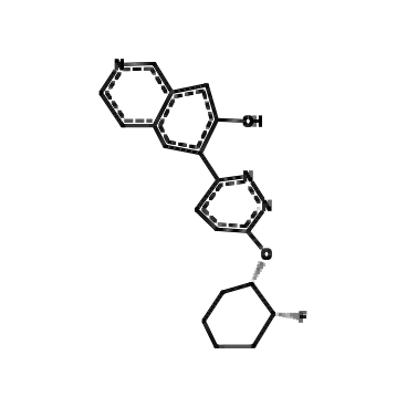 Oc1cc2cnccc2cc1-c1ccc(O[C@H]2CCCC[C@H]2F)nn1